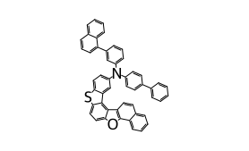 c1ccc(-c2ccc(N(c3cccc(-c4cccc5ccccc45)c3)c3ccc4sc5ccc6oc7c8ccccc8ccc7c6c5c4c3)cc2)cc1